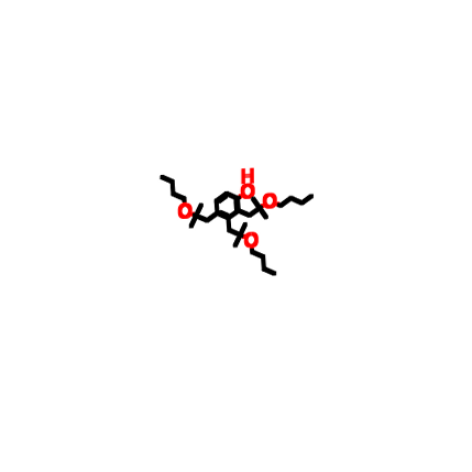 CCCCOC(C)(C)Cc1ccc(O)c(CC(C)(C)OCCCC)c1CC(C)(C)OCCCC